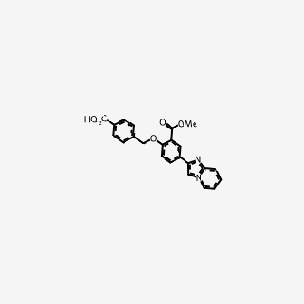 COC(=O)c1cc(-c2cn3ccccc3n2)ccc1OCc1ccc(C(=O)O)cc1